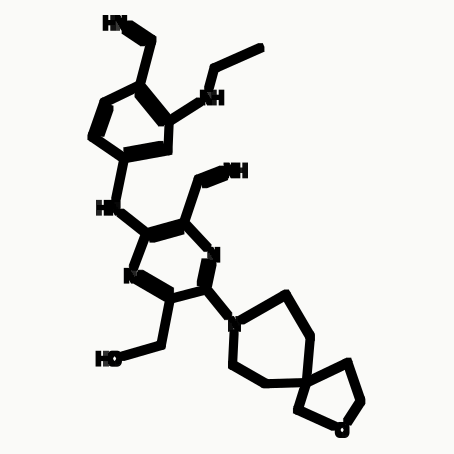 CCNc1cc(Nc2nc(CO)c(N3CCC4(CCOC4)CC3)nc2C=N)ccc1C=N